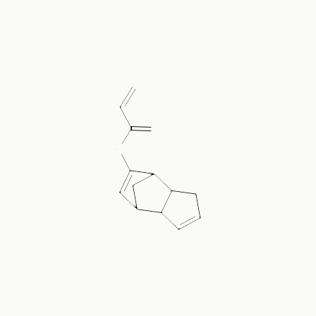 C=CC(=O)OC1=CC2CC1C1CC=CC21